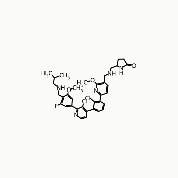 COc1cc(-c2nccc(-c3cccc(-c4ccc(CNCC5CCC(=O)N5)c(OC)n4)c3Cl)c2Cl)cc(F)c1CNCC(C)C